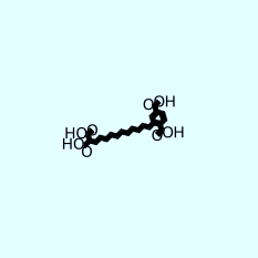 O=C(O)c1ccc(C(=O)O)c(CCCCCCCCCCCC(C(=O)O)C(=O)O)c1